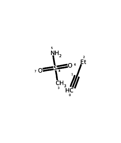 C#CCC.CS(N)(=O)=O